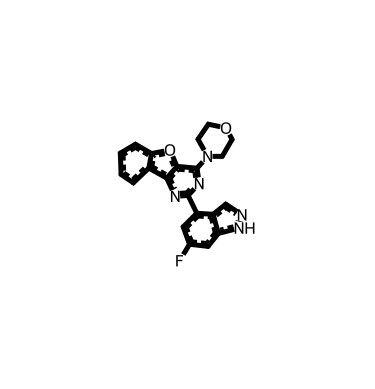 Fc1cc(-c2nc(N3CCOCC3)c3oc4ccccc4c3n2)c2cn[nH]c2c1